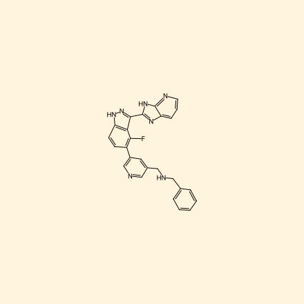 Fc1c(-c2cncc(CNCc3ccccc3)c2)ccc2[nH]nc(-c3nc4cccnc4[nH]3)c12